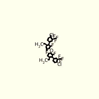 C=Cc1cc(F)c(Oc2c(F)cc(C=C)c(-c3ccc(Cl)c(C(F)(F)F)c3)c2F)c(F)c1-c1ccc(Cl)c(C(F)(F)F)c1